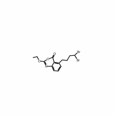 CCOc1nc2cccc(CCCC(Br)Br)c2c(=O)o1